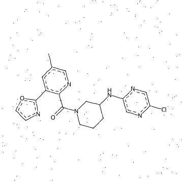 Cc1cnc(C(=O)N2CCCC(Nc3cnc(Cl)cn3)C2)c(-c2ncco2)c1